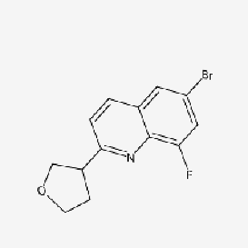 Fc1cc(Br)cc2ccc(C3CCOC3)nc12